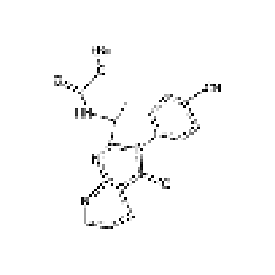 CC(NC(=O)OC(C)(C)C)c1nc2ncccc2c(=O)n1-c1ccc(C#N)cc1